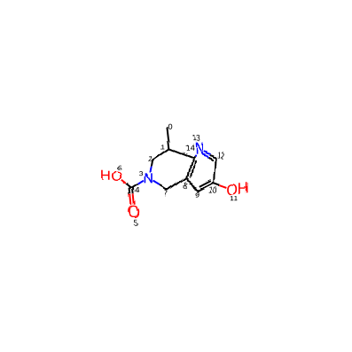 CC1CN(C(=O)O)Cc2cc(O)cnc21